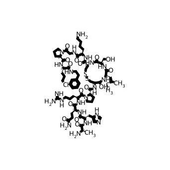 CCCC[C@H](NC(=O)[C@H]1CCCN1C(=O)CNC(=O)[C@@H](CCCCN)NC(=O)[C@H]1CSSC[C@H](NC(=O)[C@@H]2CCCN2C(=O)[C@H](CCCNC(=N)N)NC(=O)[C@H](CCC(N)=O)NC(=O)[C@H](Cc2cnc[nH]2)NC(=O)[C@H](C)N)C(O)N[C@@H](CC(C)C)C(=O)N[C@H](CO)C(=O)N1)C(=O)NCCc1ccccc1